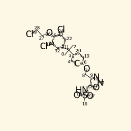 CC(C)(c1ccc(OCc2nnoc2NS(C)(=O)=O)cc1)c1cc(Cl)c(OCCCl)c(Cl)c1